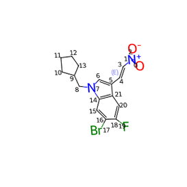 O=[N+]([O-])/C=C/c1cn(CC2CCCC2)c2cc(Br)c(F)cc12